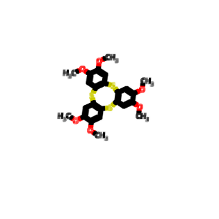 COc1cc2c(cc1OC)Sc1cc(OC)c(OC)cc1Sc1cc(OC)c(OC)cc1S2